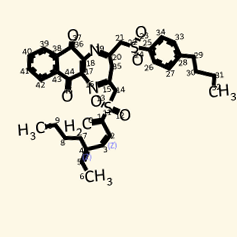 C=C(/C=C\C(=C/C)CCCC)S(=O)(=O)CC1=NC2=C(N=C(CS(=O)(=O)c3ccc(CCCC)cc3)C1)C(=O)c1ccccc1C2=O